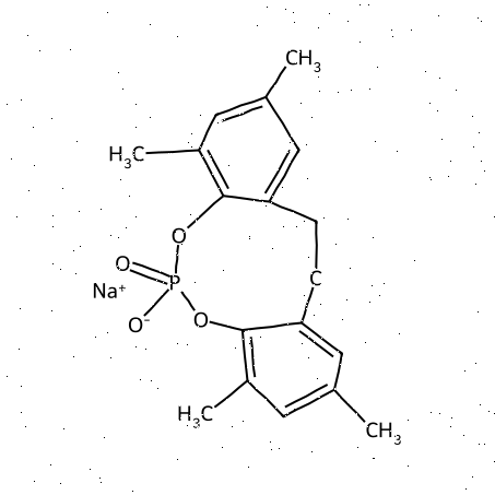 Cc1cc(C)c2c(c1)CCc1cc(C)cc(C)c1OP(=O)([O-])O2.[Na+]